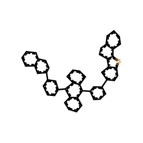 c1cc(-c2ccc3ccccc3c2)cc(-c2c3ccccc3c(-c3cccc(-c4ccc5sc6c7ccccc7ccc6c5c4)c3)c3ccccc23)c1